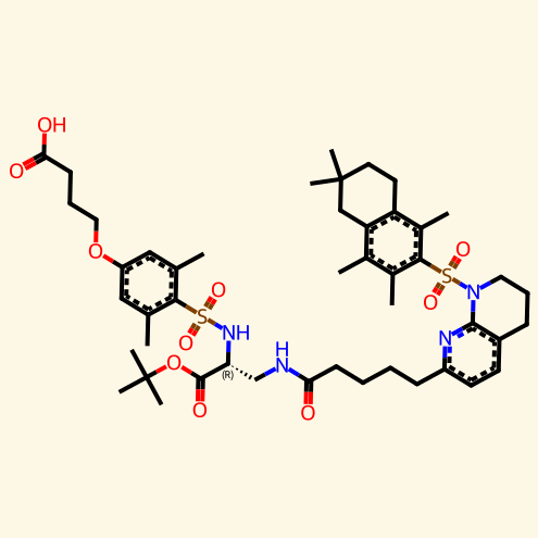 Cc1cc(OCCCC(=O)O)cc(C)c1S(=O)(=O)N[C@H](CNC(=O)CCCCc1ccc2c(n1)N(S(=O)(=O)c1c(C)c(C)c3c(c1C)CCC(C)(C)C3)CCC2)C(=O)OC(C)(C)C